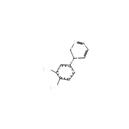 Cc1cc(C2C=CC=NC2)ccc1O